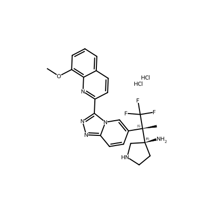 COc1cccc2ccc(-c3nnc4ccc([C@](C)(C(F)(F)F)[C@]5(N)CCNC5)cn34)nc12.Cl.Cl